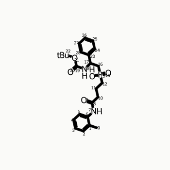 Cc1ccccc1NC(=O)CCCP(=O)(O)CC(NC(=O)OC(C)(C)C)c1ccccc1